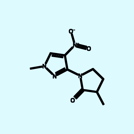 CC1CCN(c2nn(C)cc2[N+](=O)[O-])C1=O